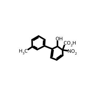 Cc1cccc(C2=CC=CC(C(=O)O)([N+](=O)[O-])C2O)c1